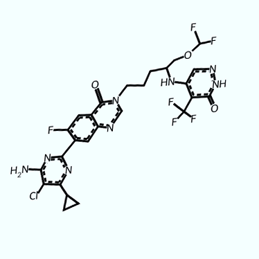 Nc1nc(-c2cc3ncn(CCCC(COC(F)F)Nc4cn[nH]c(=O)c4C(F)(F)F)c(=O)c3cc2F)nc(C2CC2)c1Cl